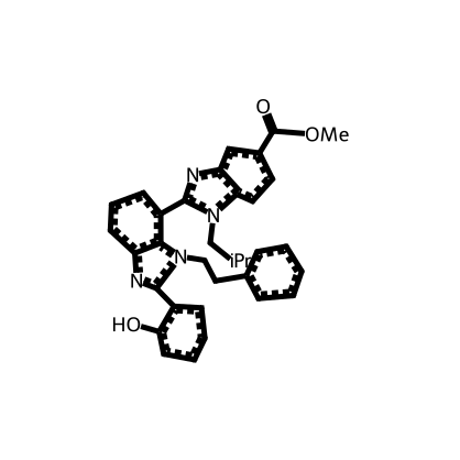 COC(=O)c1ccc2c(c1)nc(-c1cccc3nc(-c4ccccc4O)n(CCc4ccccc4)c13)n2CC(C)C